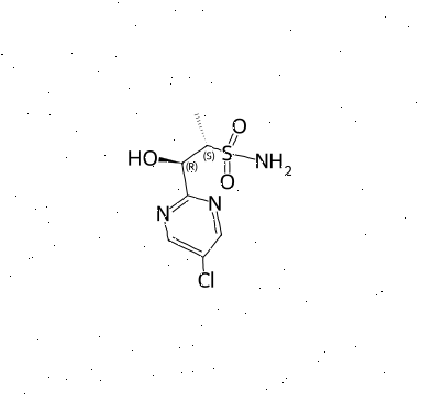 C[C@@H]([C@H](O)c1ncc(Cl)cn1)S(N)(=O)=O